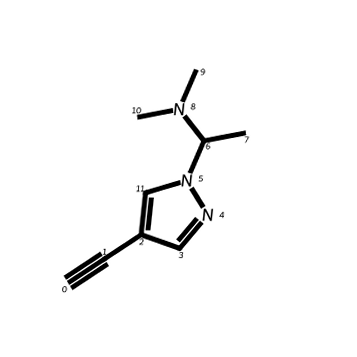 C#Cc1cnn(C(C)N(C)C)c1